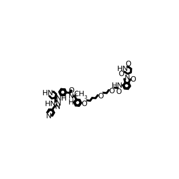 C[C@@H](NC(=O)c1cccc(NC2(c3nnc(-c4ccncc4)[nH]3)CCNCC2)c1)c1cccc(OCCCCCOCCCOCC(=O)Nc2cccc3c2CN(C2CCC(=O)NC2=O)C3=O)c1